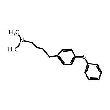 CN(C)CCCCc1ccc(Sc2ccccc2)cc1